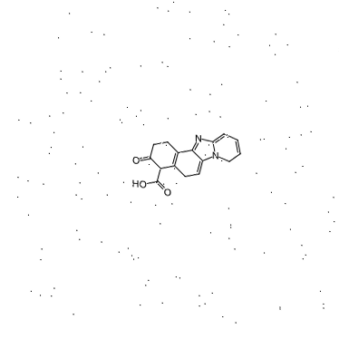 O=C(O)C1C(=O)CCC2=C1CC=c1c2nc2n1CC=CC=2